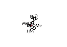 COc1cc(-c2cn(C)c(=O)c3cnccc23)cc(OC)c1CN1C2CCC1CN(Cc1cccc3c1CCNC3C)C2